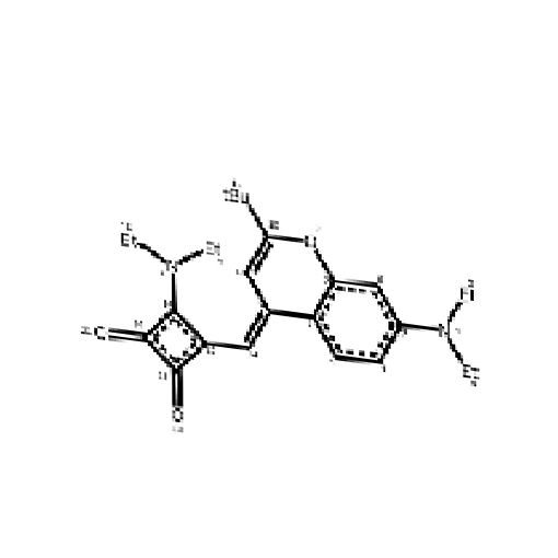 CCN(CC)c1ccc2c(c1)OC(C(C)(C)C)=CC2=Cc1c(N(CC)CC)c(=O)c1=O